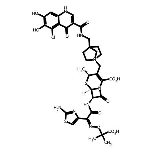 C[C@@H]1S[C@@H]2[C@H](NC(=O)/C(=N\OC(C)(C)C(=O)O)c3csc(N)n3)C(=O)N2C(C(=O)O)=C1C[N+]12CCC(CNC(=O)c3c[nH]c4cc(O)c(O)c(Cl)c4c3=O)(CC1)C2